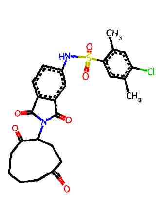 Cc1cc(S(=O)(=O)Nc2ccc3c(c2)C(=O)N(C2CCC(=O)CCCCC2=O)C3=O)c(C)cc1Cl